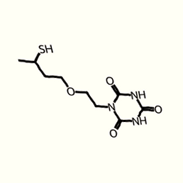 CC(S)CCOCCn1c(=O)[nH]c(=O)[nH]c1=O